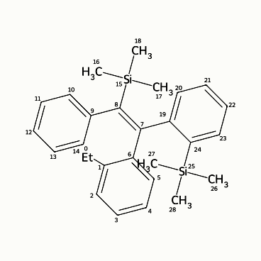 CCc1ccccc1/C(=C(\c1ccccc1)[Si](C)(C)C)c1ccccc1[Si](C)(C)C